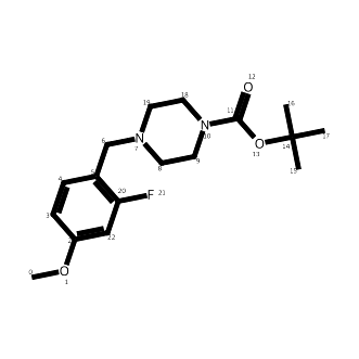 COc1ccc(CN2CCN(C(=O)OC(C)(C)C)CC2)c(F)c1